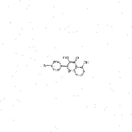 O=c1c(O)c(-c2ccc(Br)cc2)oc2cccc(O)c12